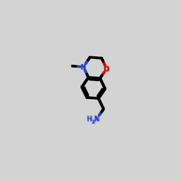 CN1CCOc2cc(CN)ccc21